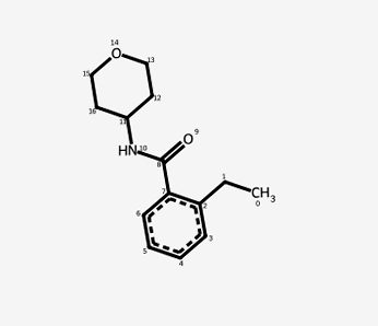 CCc1ccccc1C(=O)NC1CCOCC1